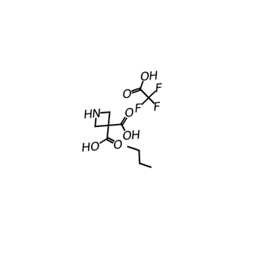 CCCC.O=C(O)C(F)(F)F.O=C(O)C1(C(=O)O)CNC1